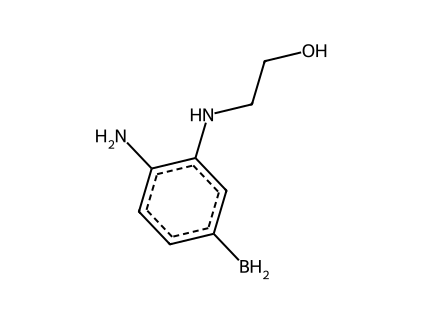 Bc1ccc(N)c(NCCO)c1